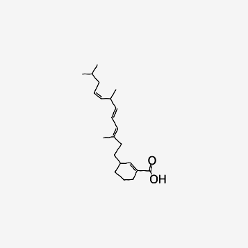 C/C(=C\C=C\C(C)/C=C\CC(C)C)CCC1C=C(C(=O)O)CCC1